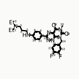 CCN(CC)CCCNc1ccc(-c2nnc3c(n2)c(=O)n(C)c(=O)n3Cc2ccc(F)c(F)c2)cc1